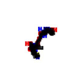 Cc1ncsc1-c1ccc(CNC(=O)[C@@H]2C[C@@H](O)CN2C(=O)[C@@H](NC(=O)COCCOCCNC(=O)C2CCN(c3cc(-c4ccccc4O)nnc3N)CC2)C(C)(C)C)cc1